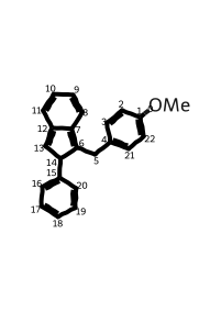 COc1ccc(CC2=c3ccccc3=CC2c2ccccc2)cc1